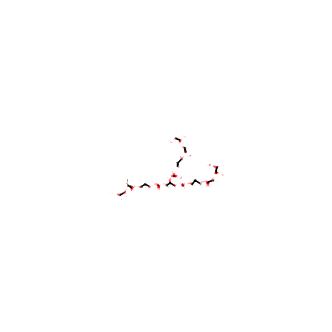 C[C@H](O)C(=O)O[C@@H](C)C(=O)OCCCOC(=O)OCC(COC(=O)OCCCOC(=O)[C@@H](C)OC(=O)[C@@H](C)O)OC(=O)OCCCOC(=O)[C@@H](C)OC(=O)[C@@H](C)O